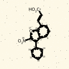 O=C(O)C=Cc1cccc2c(-c3ccccc3)c([N+](=O)[O-])oc12